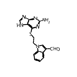 Nc1nc(SCCn2cc(C=O)c3ccccc32)c2[nH]cnc2n1